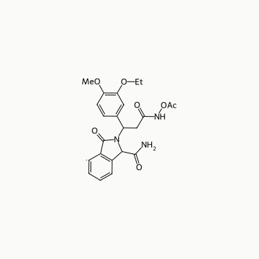 CCOc1cc(C(CC(=O)NOC(C)=O)N2C(=O)c3[c]cccc3C2C(N)=O)ccc1OC